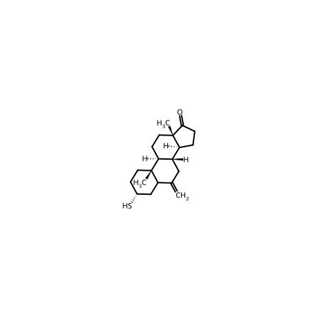 C=C1C[C@@H]2[C@H](CC[C@]3(C)C(=O)CC[C@@H]23)[C@@]2(C)CC[C@@H](S)CC12